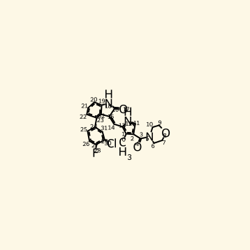 Cc1c(C(=O)N2CCOCC2)c[nH]c1/C=C1\C(=O)Nc2cccc(-c3ccc(F)c(Cl)c3)c21